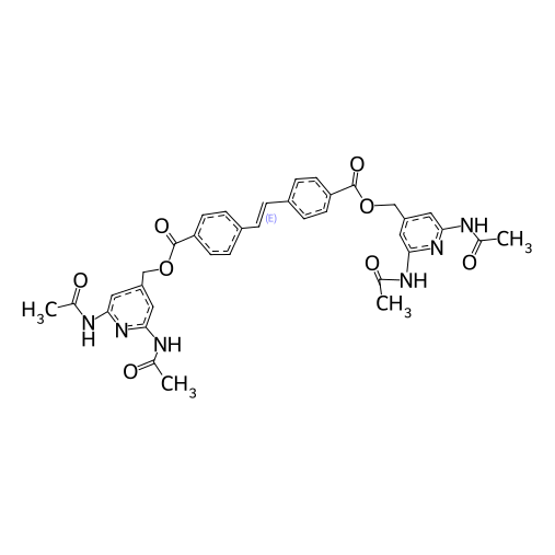 CC(=O)Nc1cc(COC(=O)c2ccc(/C=C/c3ccc(C(=O)OCc4cc(NC(C)=O)nc(NC(C)=O)c4)cc3)cc2)cc(NC(C)=O)n1